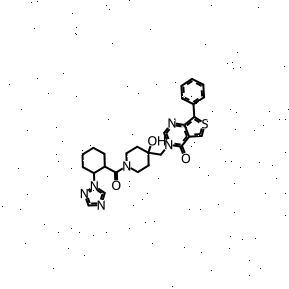 O=C(C1CCCCC1n1cncn1)N1CCC(O)(Cn2cnc3c(-c4ccccc4)scc3c2=O)CC1